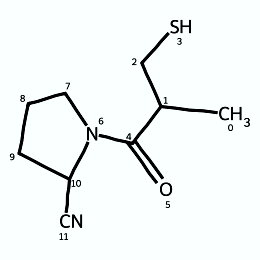 CC(CS)C(=O)N1CCCC1C#N